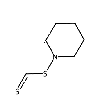 S=CSN1CCCCC1